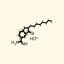 CCCCCCCCC1Cc2ccc(C(=N)N)cc2C1=O.Cl